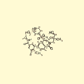 Cc1c(F)cc(C(=O)NC2CC2)cc1-c1ccc2c(=O)n(CC(C)(C)CO)cc(S(=O)(=O)N3CCN[C@@H](CO)C3)c2c1